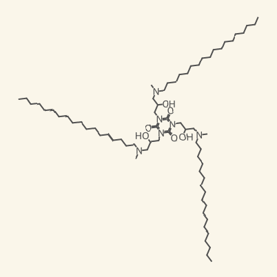 CCCCCCCCCCCCCCCCCCN(C)CC(O)Cn1c(=O)n(CC(O)CN(C)CCCCCCCCCCCCCCCCCC)c(=O)n(CC(O)CN(C)CCCCCCCCCCCCCCCCCC)c1=O